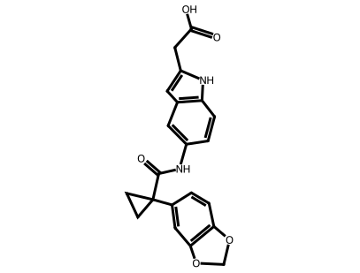 O=C(O)Cc1cc2cc(NC(=O)C3(c4ccc5c(c4)OCO5)CC3)ccc2[nH]1